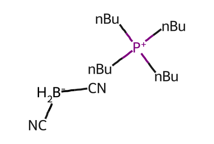 CCCC[P+](CCCC)(CCCC)CCCC.N#C[BH2-]C#N